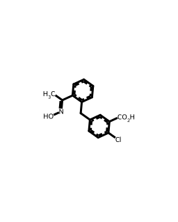 CC(=NO)c1ccccc1Cc1ccc(Cl)c(C(=O)O)c1